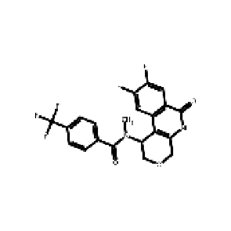 CN(C(=O)c1ccc(C(F)(F)F)cc1)C1COCc2[nH]c(=O)c3cc(F)c(F)cc3c21